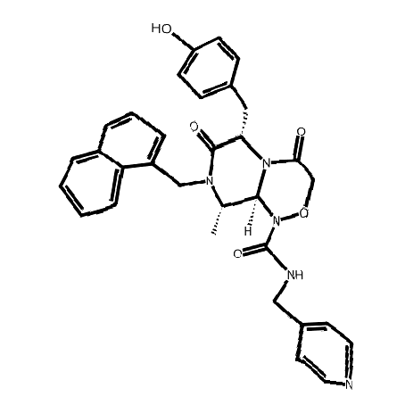 C[C@H]1[C@@H]2N(C(=O)NCc3ccncc3)OCC(=O)N2[C@@H](Cc2ccc(O)cc2)C(=O)N1Cc1cccc2ccccc12